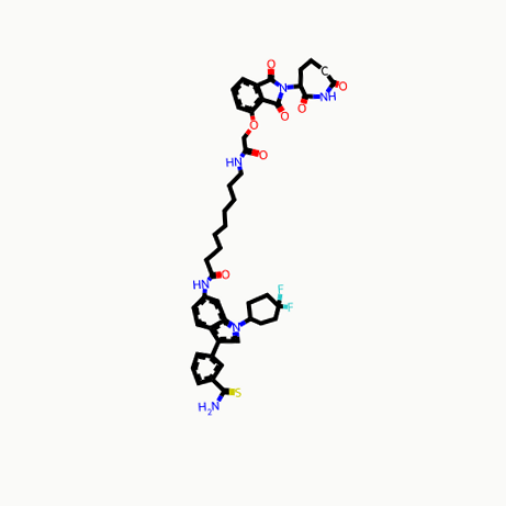 NC(=S)c1cccc(-c2cn(C3CCC(F)(F)CC3)c3cc(NC(=O)CCCCCCCCNC(=O)COc4cccc5c4C(=O)N(C4CCCC(=O)NC4=O)C5=O)ccc23)c1